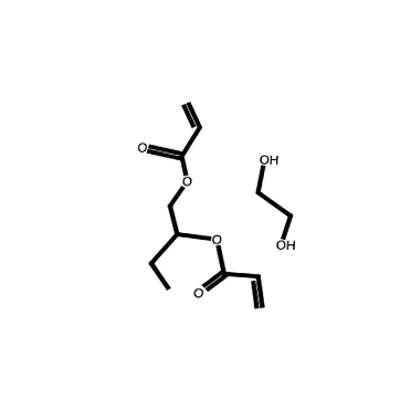 C=CC(=O)OCC(CC)OC(=O)C=C.OCCO